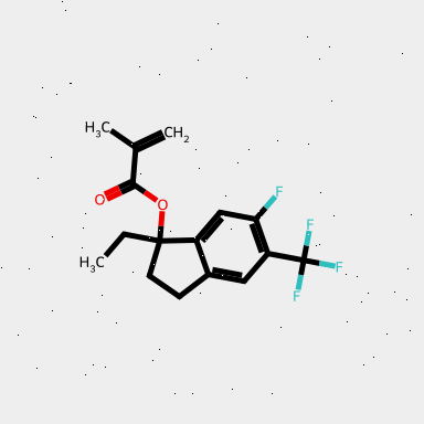 C=C(C)C(=O)OC1(CC)CCc2cc(C(F)(F)F)c(F)cc21